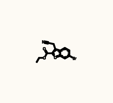 CCOC(=O)c1oc2cc(Br)ccc2c1CC#N